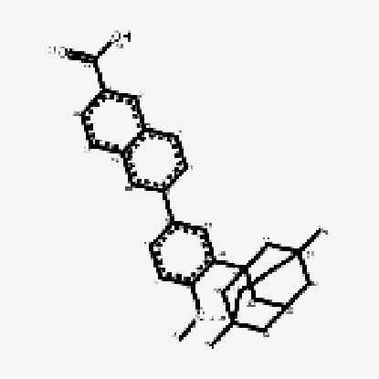 COc1ccc(-c2ccc3cc(C(=O)O)ccc3c2)cc1C12CC3CC(C)(CC(C)(C3)C1)C2